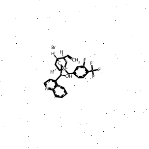 C=C[C@H]1C[N+]2(Cc3ccc(C(F)(F)F)c(F)c3)CC[C@H]1C[C@@H]2[C@@H](O)c1ccnc2ccccc12.[Br-]